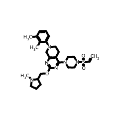 C=CS(=O)(=O)N1CCN(c2nc(OCC3CCCN3C)nc3c2CCN(c2cccc(C)c2C)C3)CC1